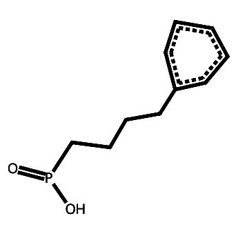 O=[P](O)CCCCc1ccccc1